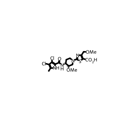 COCc1nc(N2CC[C@H](NC(=O)c3[nH]c(C)c(Cl)c3Cl)[C@H](OC)C2)sc1C(=O)O